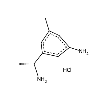 Cc1cc(N)cc([C@@H](C)N)c1.Cl